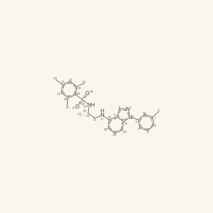 Cc1cccc(-n2ncc3c(NC[C@H](C)NS(=O)(=O)c4c(C)cc(C)cc4C)cccc32)c1